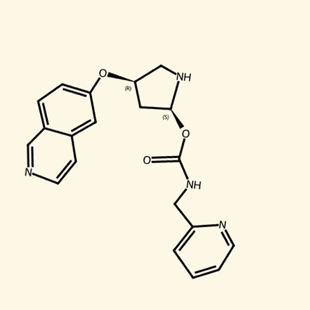 O=C(NCc1ccccn1)O[C@H]1C[C@@H](Oc2ccc3cnccc3c2)CN1